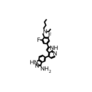 CCCCN(CC)Cc1c(F)cc(-c2cc3c(-c4ccc5[nH]nc(N)c5c4)ccnc3[nH]2)cc1F